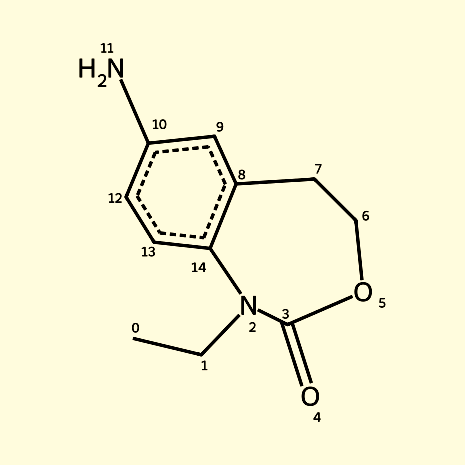 CCN1C(=O)OCCc2cc(N)ccc21